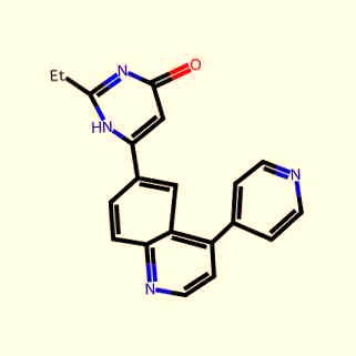 CCc1nc(=O)cc(-c2ccc3nccc(-c4ccncc4)c3c2)[nH]1